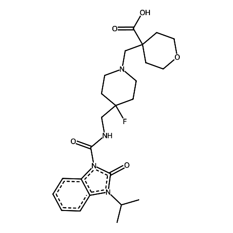 CC(C)n1c(=O)n(C(=O)NCC2(F)CCN(CC3(C(=O)O)CCOCC3)CC2)c2ccccc21